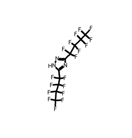 FC(F)(F)C(F)(F)C(F)(F)C(F)(F)c1n[nH]c(C(F)(F)C(F)(F)C(F)(F)C(F)(F)F)n1